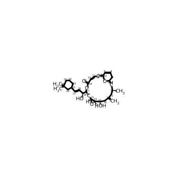 C=C1C[C@H](C)C[C@@H]2CC=C[C@@H](C/C=C\C(=O)OC([C@@H](O)/C=C/C3CCCC(C)(C)C3)C[C@@H]3O[C@H]3[C@@H](O)C1)O2